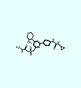 CNC(=O)CS(=O)(=O)Cc1cc(N2CCOC[C@@H]2C)nc(-c2ccc(NC(=O)NC3CC3)cc2)n1